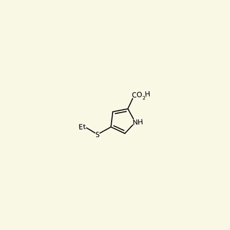 CCSc1c[nH]c(C(=O)O)c1